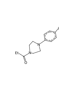 CCC(=O)N1CCN(c2ccc(I)cc2)CC1